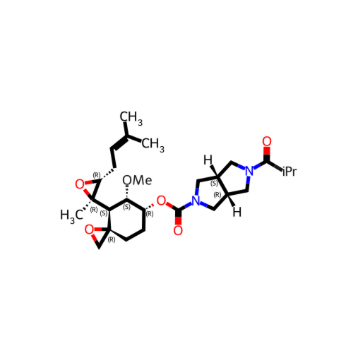 CO[C@@H]1[C@H](OC(=O)N2C[C@@H]3CN(C(=O)C(C)C)C[C@@H]3C2)CC[C@]2(CO2)[C@H]1[C@@]1(C)O[C@@H]1CC=C(C)C